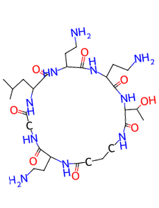 CC(C)CC1NC(=O)CNC(=O)C(CCN)NC(=O)CCCNC(=O)C(C(C)O)NC(=O)C(CCN)NC(=O)C(CCN)NC1=O